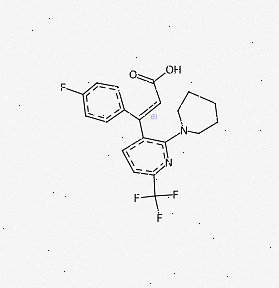 O=C(O)/C=C(\c1ccc(F)cc1)c1ccc(C(F)(F)F)nc1N1CCCCC1